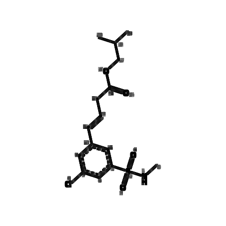 CNS(=O)(=O)c1cc(Cl)cc(C=CCC(=O)OCC(C)C)c1